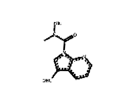 CCCCN(C)C(=O)n1cc(C=O)c2cccnc21